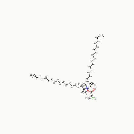 C=CC(=O)O[N+](CC)(C(C)CCCCCCCCCCCCCCCCC)C(C)CCCCCCCCCCCCCCCCC.[Cl-]